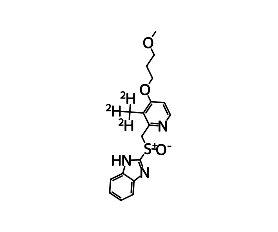 [2H]C([2H])([2H])c1c(OCCCOC)ccnc1C[S+]([O-])c1nc2ccccc2[nH]1